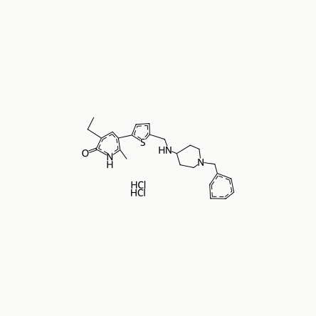 CCc1cc(-c2ccc(CNC3CCN(Cc4ccccc4)CC3)s2)c(C)[nH]c1=O.Cl.Cl